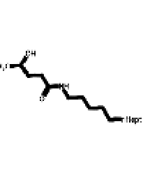 CCCCCCCCCCCCNC(=O)CCC(C)O